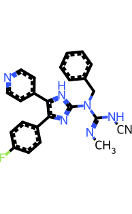 CN=C(NC#N)N(Cc1ccccc1)c1nc(-c2ccc(F)cc2)c(-c2ccncc2)[nH]1